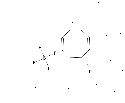 C1=CCCC=CCC1.F[B-](F)(F)F.[H+].[Ir]